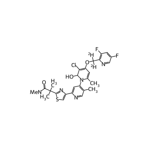 [2H]C([2H])(OC1=C(Cl)C(O)N(c2cc(-c3csc(C(C)(C)C(=O)NC)n3)ncc2C)C(C)=C1)c1ncc(F)cc1F